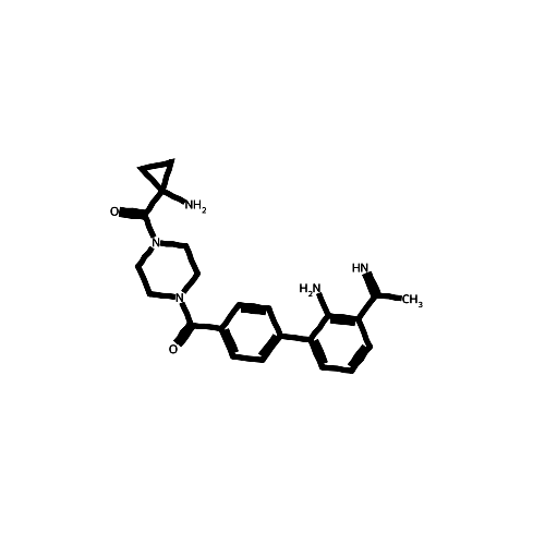 CC(=N)c1cccc(-c2ccc(C(=O)N3CCN(C(=O)C4(N)CC4)CC3)cc2)c1N